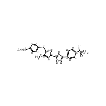 CC(=O)Nc1ccc(Cn2nc(-c3nc(-c4ccc(S(=O)(=O)C(F)(F)F)cc4)no3)cc2C)cc1